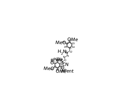 CCCCCOc1cc(C(C#N)(CCCC(N)Cc2ccc(OC)c(OC)c2)C(C)CC)c(OCCCCC)c(OC)c1OC